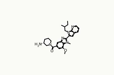 CCC(C)Cn1c(-c2nc3cc(C(=O)N4CCC[C@@H](N)C4)cc(OC)c3n2C)cc2cccnc21